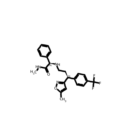 CNC(=O)[C@H](NCC[C@@H](c1ccc(C(F)(F)F)cc1)c1cc(C)on1)c1ccccc1